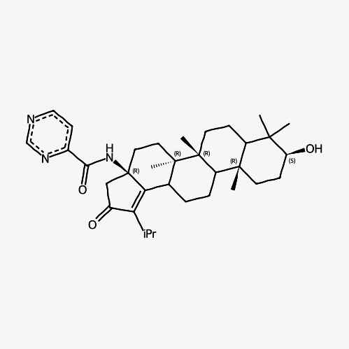 CC(C)C1=C2C3CCC4[C@@]5(C)CC[C@H](O)C(C)(C)C5CC[C@@]4(C)[C@]3(C)CC[C@@]2(NC(=O)c2ccncn2)CC1=O